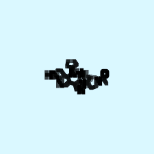 CC(=O)N1CC[C@H](n2ncc(-c3cnc4[nH]ccc4c3NC3CCCC3)c2C)[C@@H](F)C1